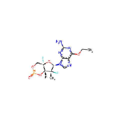 CCOc1nc(N)nc2c1ncn2[C@@H]1O[C@]2(F)CO[PH](=O)O[C@H]2[C@@]1(C)F